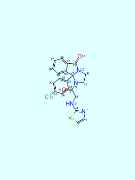 O=C(CNc1nccs1)N1CCN2C(=O)c3ccccc3C12c1ccc(Cl)cc1